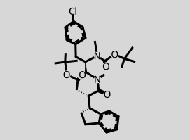 CN(C[C@@H](Cc1ccc(Cl)cc1)N(C)C(=O)OC(C)(C)C)C(=O)[C@@H](CC(=O)OC(C)(C)C)[C@H]1CCc2ccccc21